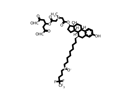 CN(CC(=O)OC(CC(=O)C=O)CC(=O)C=O)CC(=O)O[C@H]1CC[C@H]2[C@@H]3[C@H](CCCCCCCCC[S+]([O-])CCCC(F)(F)C(F)(F)F)Cc4cc(O)ccc4[C@H]3CC[C@]12C